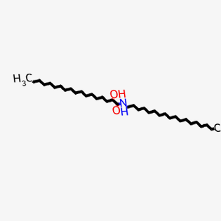 CCCCCCCCCCCCCCCCCCNC(=O)C(O)CCCCCCCCCCCCCCCC